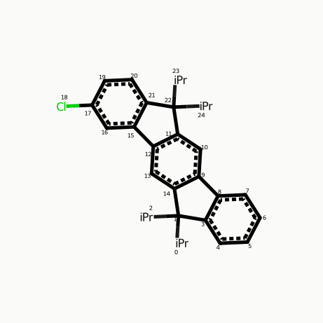 CC(C)C1(C(C)C)c2ccccc2-c2cc3c(cc21)-c1cc(Cl)ccc1C3(C(C)C)C(C)C